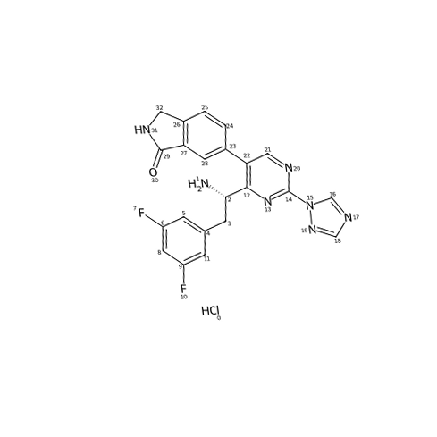 Cl.N[C@@H](Cc1cc(F)cc(F)c1)c1nc(-n2cncn2)ncc1-c1ccc2c(c1)C(=O)NC2